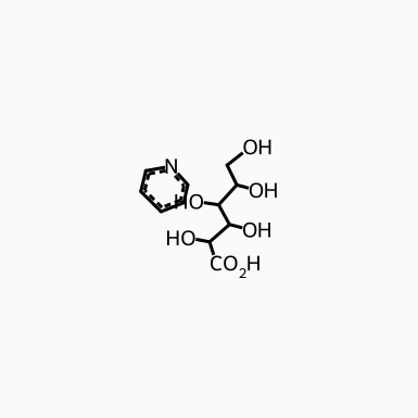 O=C(O)C(O)C(O)C(O)C(O)CO.c1ccncc1